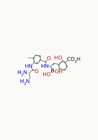 Cc1ccc(C(=O)N[C@@H](Cc2cccc(C(=O)O)c2O)B(O)O)cc1NC(=O)[C@@H](N)CN